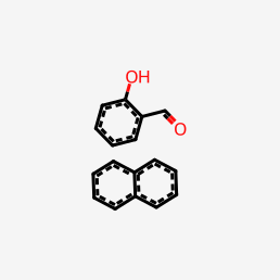 O=Cc1ccccc1O.c1ccc2ccccc2c1